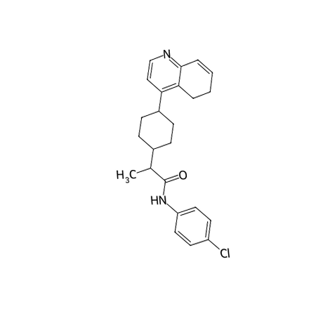 CC(C(=O)Nc1ccc(Cl)cc1)C1CCC(c2ccnc3c2CCC=C3)CC1